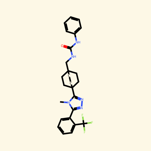 Cn1c(-c2ccccc2C(F)(F)F)nnc1C12CCC(CNC(=O)Nc3ccccc3)(CC1)CC2